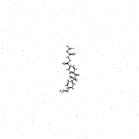 CN(C)CC(=O)SCC(=O)c1ccc(NS(=O)(=O)c2ccc(OC(F)(F)F)cc2)cc1